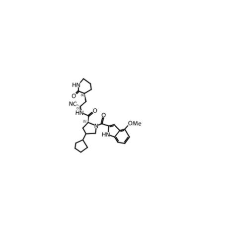 COc1cccc2[nH]c(C(=O)N3CC(C4CCCC4)C[C@H]3C(=O)N[C@H](C#N)C[C@@H]3CCCNC3=O)cc12